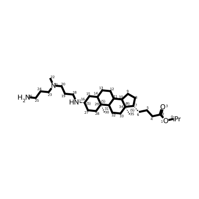 CC(C)OC(=O)CCC[C@H]1CCC2C3CCC4C[C@@H](NCCCN(C)CCCN)CC[C@]4(C)C3CC[C@@]21C